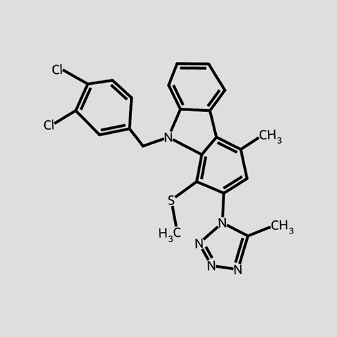 CSc1c(-n2nnnc2C)cc(C)c2c3ccccc3n(Cc3ccc(Cl)c(Cl)c3)c12